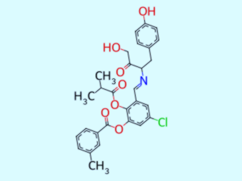 Cc1cccc(C(=O)Oc2cc(Cl)cc(C=NC(Cc3ccc(O)cc3)C(=O)CO)c2OC(=O)C(C)C)c1